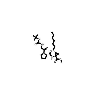 CCCCCCC[C@@H]1C[C@]1(NC(=O)[C@@H]1CCCN1C(=O)CNC(=O)OC(C)(C)C)C(=O)OC